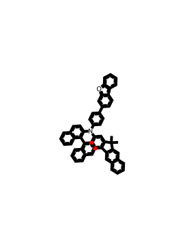 CC1(C)c2cc(N(c3ccc(-c4ccc5c(c4)oc4ccccc45)cc3)c3ccc4ccccc4c3-c3cccc4ccccc34)ccc2-c2cc3ccccc3cc21